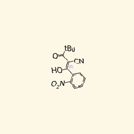 CC(C)(C)C(=O)/C(C#N)=C(\O)c1ccccc1[N+](=O)[O-]